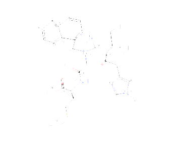 CC[C@H](C)[C@H](C(=O)Cc1cn(C)cn1)C(N)N(CC(=O)N[C@@H](CCSC)C(=O)O)Cc1cccc2ccccc12